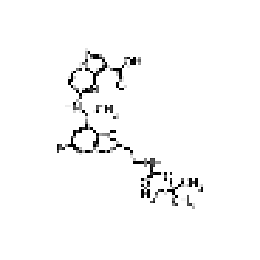 C[C@@H](Nc1ccn2ncc(C(=O)O)c2n1)c1cc(F)cc2c1OC(CCNC(=O)OC(C)(C)C)C2